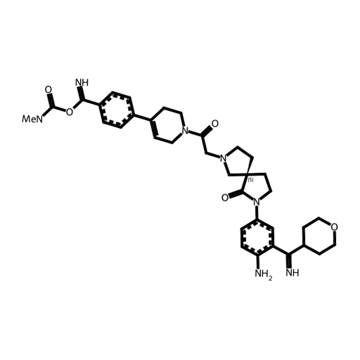 CNC(=O)OC(=N)c1ccc(C2=CCN(C(=O)CN3CC[C@]4(CCN(c5ccc(N)c(C(=N)C6CCOCC6)c5)C4=O)C3)CC2)cc1